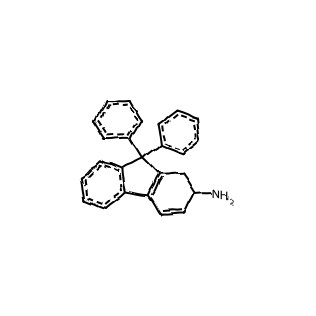 NC1C=CC2=C(C1)C(c1ccccc1)(c1ccccc1)c1ccccc12